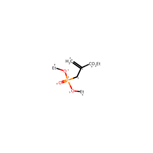 C=C(CP(=O)(OCC)OCC)C(=O)OCC